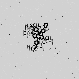 CC(C)(C)c1ccc(N2B3c4cc(C(C)(C)C)ccc4N(c4ccc(C(C)(C)C)cc4)c4cc(C(C)(C)C)cc(c43)-c3cc4oc5ccccc5c4cc32)cc1